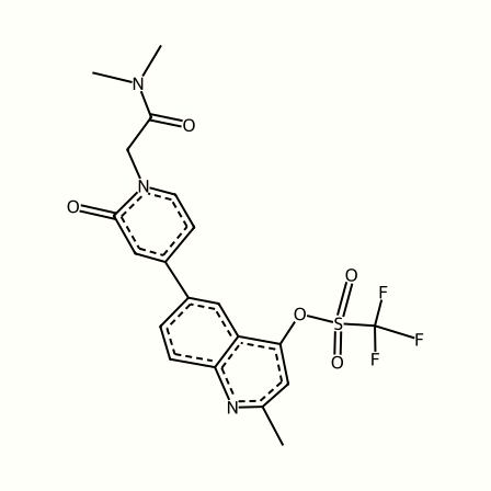 Cc1cc(OS(=O)(=O)C(F)(F)F)c2cc(-c3ccn(CC(=O)N(C)C)c(=O)c3)ccc2n1